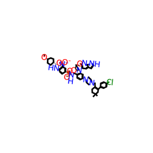 CO[C@H]1CC[C@H](CNc2ccc(S(=O)(=O)NC(=O)c3ccc(N4CCN(CC5=C(c6ccc(Cl)cc6)CC(C)(C)CC5)CC4)cc3N3CCOc4nc5[nH]ccc5cc43)cc2[N+](=O)[O-])CC1